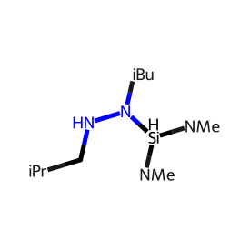 CCC(C)N(NCC(C)C)[SiH](NC)NC